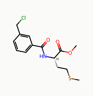 COC(=O)[C@H](CCSC)NC(=O)c1cccc(CCl)c1